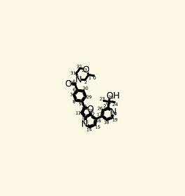 CC1CN(C(=O)c2ccc(-c3cc4nccc(-c5ccnc(C(C)(C)O)c5)c4o3)cc2)CCO1